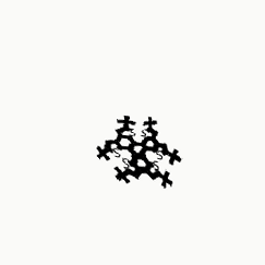 CC(C)(C)C1=CC2C(S1)c1c(c3c4sc(C(C)(C)C)cc4c4cc(C(C)(C)C)sc4c3c3c4sc(C(C)(C)C)cc4c4cc(C(C)(C)C)sc4c13)C1SC(C(C)(C)C)=CC12